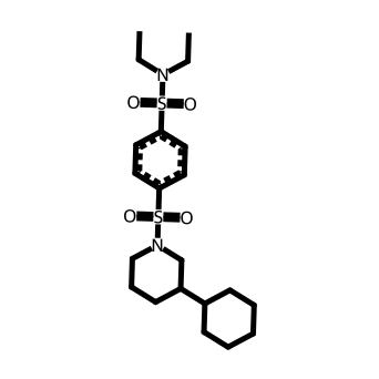 CCN(CC)S(=O)(=O)c1ccc(S(=O)(=O)N2CCCC(C3CCCCC3)C2)cc1